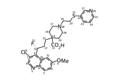 COc1ccc2ncc(Cl)c([C@H](F)CCC3(C(=O)O)CCN(CCSc4cccnc4)CC3)c2c1